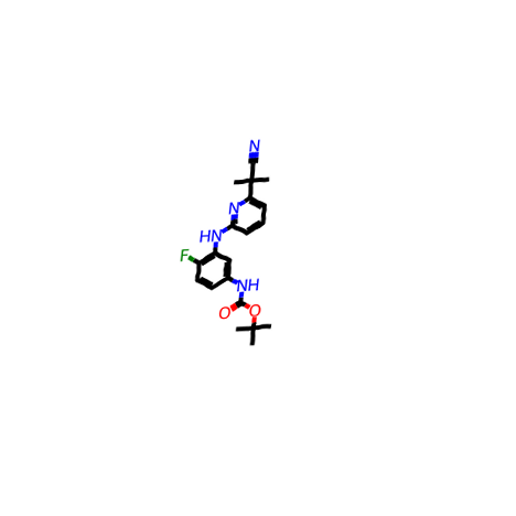 CC(C)(C)OC(=O)Nc1ccc(F)c(Nc2cccc(C(C)(C)C#N)n2)c1